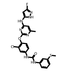 CSc1cccc(NC(=O)Nc2ccc(Oc3nc(C)cc(Nc4cc(F)n[nH]4)n3)c(Cl)c2)c1